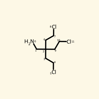 NCC(CCCl)(CCCl)CCCl